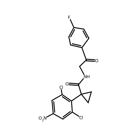 O=C(CNC(=O)C1(c2c(Cl)cc([N+](=O)[O-])cc2Cl)CC1)c1ccc(F)cc1